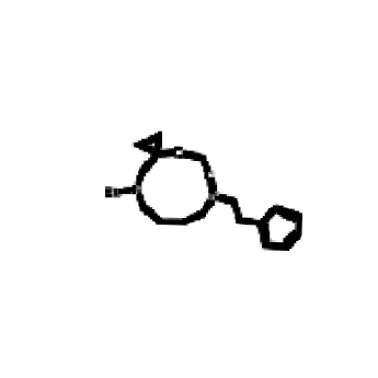 CCN1CCCCN(CCc2ccccc2)CCOC2(CC2)C1